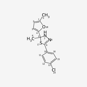 Cc1ccc(C2(C)NN=C(c3ccc(Cl)cc3)S2)o1